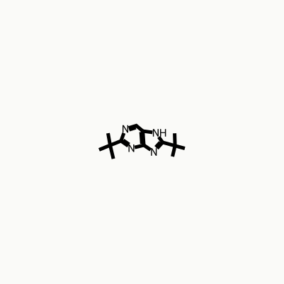 CC(C)(C)c1ncc2[nH]c(C(C)(C)C)nc2n1